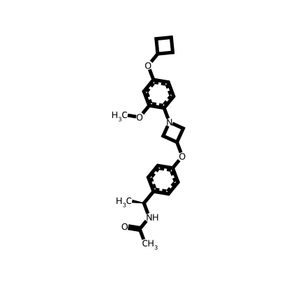 COc1cc(OC2CCC2)ccc1N1CC(Oc2ccc([C@H](C)NC(C)=O)cc2)C1